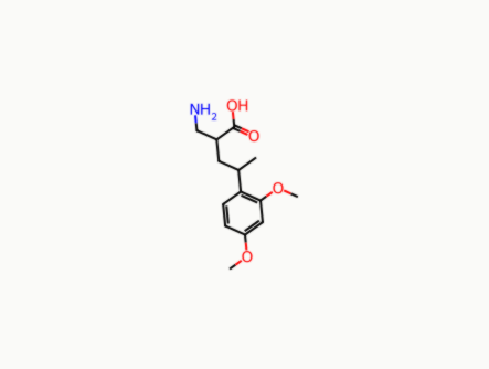 COc1ccc(C(C)CC(CN)C(=O)O)c(OC)c1